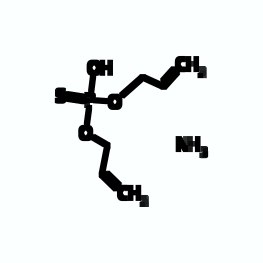 C=CCOP(O)(=S)OCC=C.N